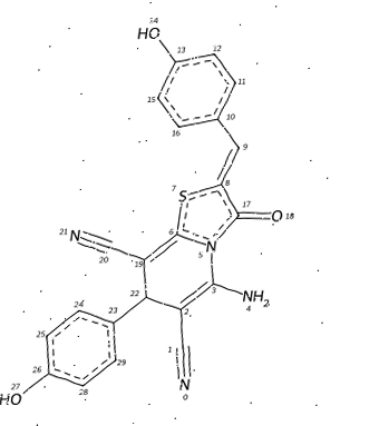 N#CC1=C(N)n2c(s/c(=C\c3ccc(O)cc3)c2=O)=C(C#N)C1c1ccc(O)cc1